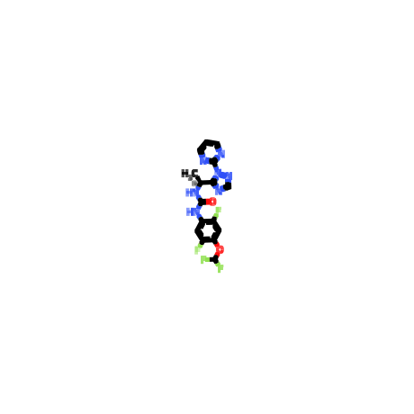 C[C@H](NC(=O)Nc1cc(F)c(OC(F)F)cc1F)c1ncnn1-c1ncccn1